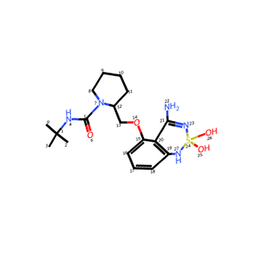 CC(C)(C)NC(=O)N1CCCCC1COc1cccc2c1C(N)=NS(O)(O)N2